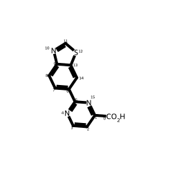 O=C(O)c1ccnc(-c2ccc3ncsc3c2)n1